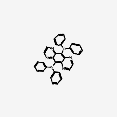 c1ccc(N(c2ccccc2)c2c3nccnc3c(N(c3ccccc3)c3ccccc3)c3nccnc23)cc1